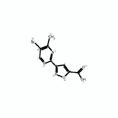 Cc1nc(-c2cc(C(=O)O)on2)ncc1Br